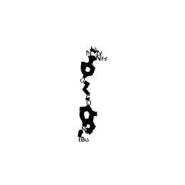 Cc1c(OCCCCOc2ccc(-c3nnn[nH]3)cc2)ccc2c1ccn2CC(C)(C)C